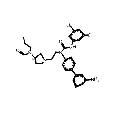 CCCN(C=O)[C@@H]1CCN(CCN(C(=O)Nc2cc(Cl)cc(Cl)c2)c2ccc(-c3cccc(N)c3)cc2)C1